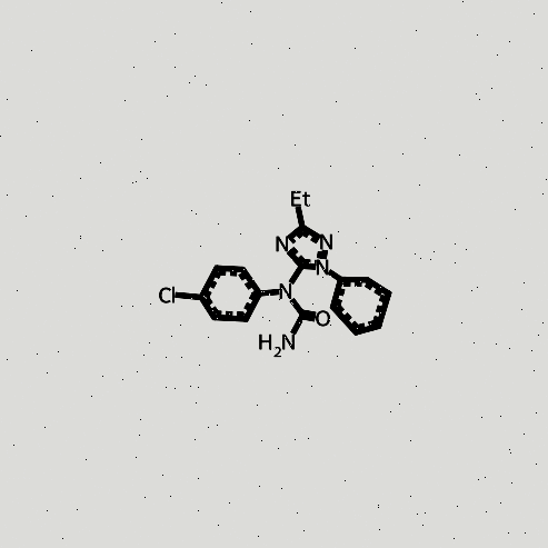 CCc1nc(N(C(N)=O)c2ccc(Cl)cc2)n(-c2ccccc2)n1